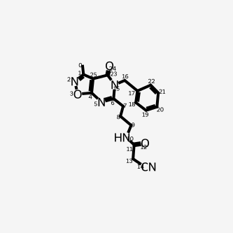 Cc1noc2nc(CCCNC(=O)CC#N)n(Cc3ccccc3)c(=O)c12